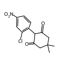 CC1(C)CC(=O)C(c2ccc([N+](=O)[O-])cc2Cl)C(=O)C1